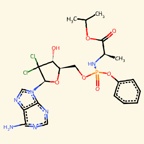 CC(C)OC(=O)[C@@H](C)N[P@@](=O)(OC[C@H]1O[C@@H](n2cnc3c(N)ncnc32)C(Cl)(Cl)[C@@H]1O)Oc1ccccc1